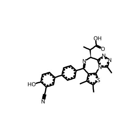 Cc1sc2c(c1C)C(c1ccc(-c3ccc(O)c(C#N)c3)cc1)=N[C@@H](C(C)C(=O)O)c1nnc(C)n1-2